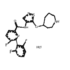 Cl.O=C(Nc1cnsc1OC1CCCNCC1)c1ccc(F)c(-c2c(F)cccc2F)n1